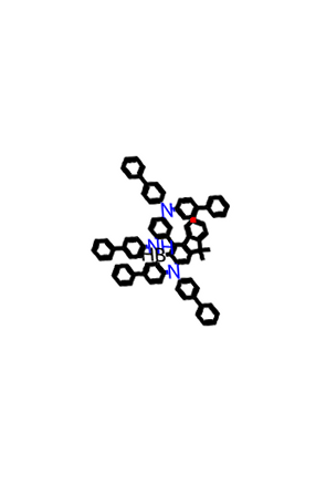 CC1(C)c2ccccc2-c2c1cc1c(c2-c2cc(N(c3ccc(-c4ccccc4)cc3)c3ccc(-c4ccccc4)cc3)ccc2Nc2ccc(-c3ccccc3)cc2)Bc2cc(-c3ccccc3)ccc2N1c1ccc(-c2ccccc2)cc1